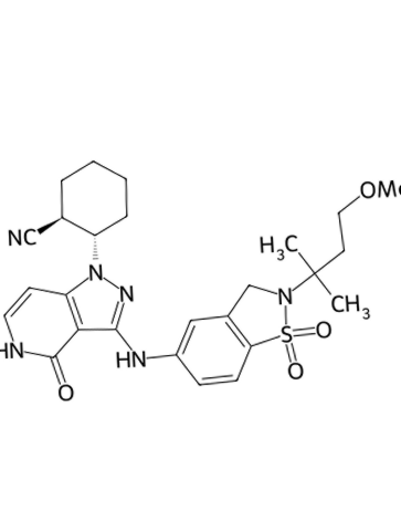 COCCC(C)(C)N1Cc2cc(Nc3nn([C@H]4CCCC[C@@H]4C#N)c4cc[nH]c(=O)c34)ccc2S1(=O)=O